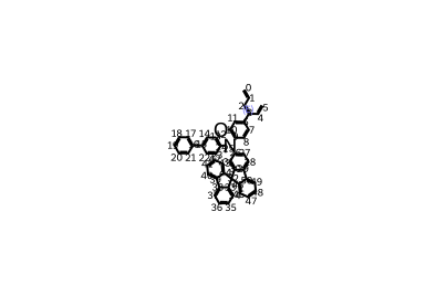 C=C/C=C(\C=C)c1ccc2c(c1)Oc1cc(-c3ccccc3)ccc1N2c1ccc2c(c1)C1(c3ccccc3-c3ccccc31)c1ccccc1-2